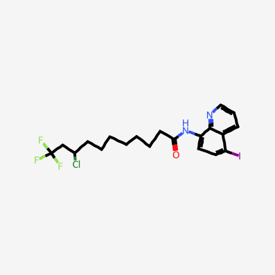 O=C(CCCCCCCC(Cl)CC(F)(F)F)Nc1ccc(I)c2cccnc12